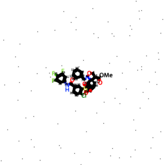 COC(=O)C1CON(Cc2ccccc2)[C@]12CC1CCC2[C@@H]1S(=O)(=O)c1cc(C(=O)Nc2cc(F)c(F)c(F)c2)ccc1Cl